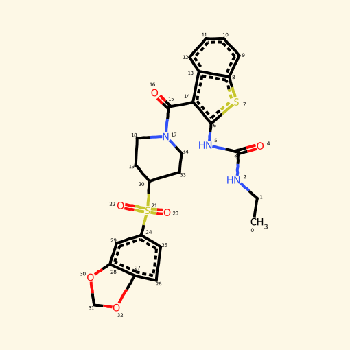 CCNC(=O)Nc1sc2ccccc2c1C(=O)N1CCC(S(=O)(=O)c2ccc3c(c2)OCO3)CC1